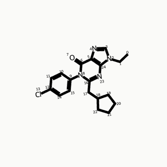 CCn1cnc2c(=O)n(-c3ccc(Cl)cc3)c(CC3CCCC3)nc21